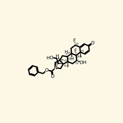 C[C@]12C=CC(=O)C=C1[C@@H](F)C[C@H]1[C@@H]3C[C@H]4CN(C(=O)OCc5ccccc5)C[C@@]4(C(=O)CO)[C@@]3(C)C[C@H](O)[C@@]12F